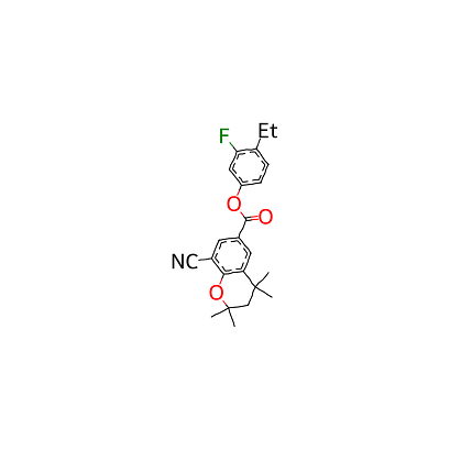 CCc1ccc(OC(=O)c2cc(C#N)c3c(c2)C(C)(C)CC(C)(C)O3)cc1F